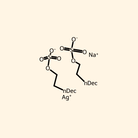 CCCCCCCCCCCCOS(=O)(=O)[O-].CCCCCCCCCCCCOS(=O)(=O)[O-].[Ag+].[Na+]